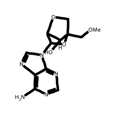 COCC12COC(C(n3cnc4c(N)ncnc43)O1)[C@H]2O